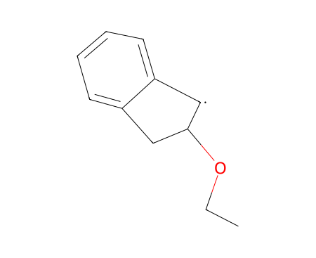 CCOC1[CH]c2ccccc2C1